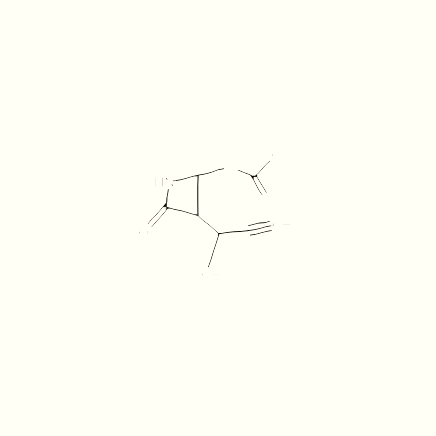 C#CC(C)C1C(=O)NC1OC(C)=O